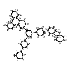 c1cncc(-c2ccc(-c3nc(-c4ccc(-c5ccc6oc7ccccc7c6c5)cc4)cc(-c4ccc5c6ccccc6c6ccccc6c5c4)n3)cc2)c1